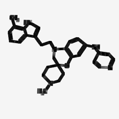 Cc1cccc2c(CCN3CC4(CCN(C)CC4)Oc4cc(Nc5ccncc5)ccc43)c[nH]c12